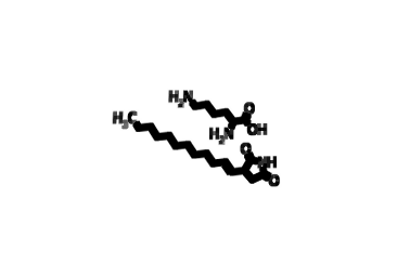 CCCCCCCCCCC=CC1CC(=O)NC1=O.NCCCCC(N)C(=O)O